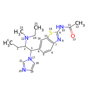 CCC(C(c1ccc2nc(NC(C)=O)sc2c1)n1ccnc1)N(C)CC